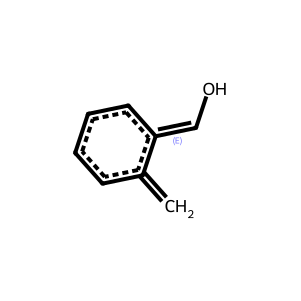 C=c1cccc/c1=C\O